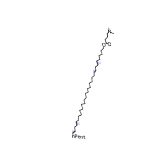 CCCCC/C=C/C/C=C/CCCCCCCCCCCCCCCCC/C=C/C/C=C/CCCCCOC(=O)CCCN(C)C